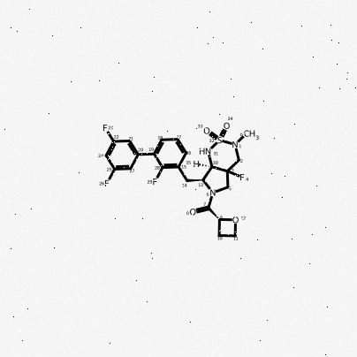 CN1CC2(F)CN(C(=O)[C@@H]3CCO3)[C@@H](Cc3cccc(-c4cc(F)cc(F)c4)c3F)[C@H]2NS1(=O)=O